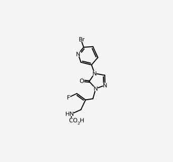 O=C(O)NCC(=CF)Cn1ncn(-c2ccc(Br)nc2)c1=O